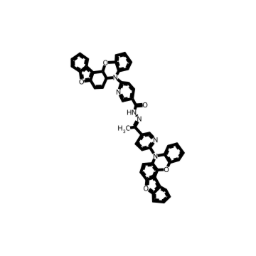 C/C(=N\NC(=O)c1ccc(N2c3ccccc3OC3c4c(oc5ccccc45)C=CC32)nc1)c1ccc(N2c3ccccc3Oc3c2ccc2oc4ccccc4c32)nc1